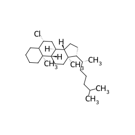 CC(C)CCC[C@@H](C)[C@H]1CC[C@H]2[C@@H]3C[C@@H](Cl)C4CCCC[C@]4(C)[C@H]3CC[C@]12C